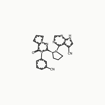 N#Cc1cccc(-n2c([C@@H]3CCCN3c3ncnc4[nH]cc(C#N)c34)nn3cccc3c2=O)c1